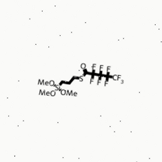 CO[Si](CCCSC(=O)C(F)(F)C(F)(F)C(F)(F)C(F)(F)F)(OC)OC